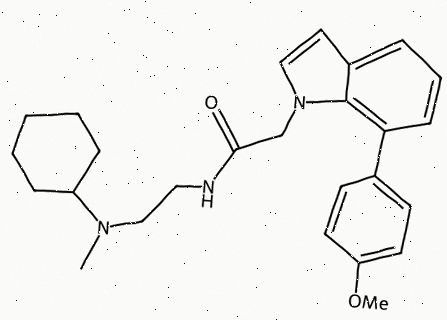 COc1ccc(-c2cccc3ccn(CC(=O)NCCN(C)C4CCCCC4)c23)cc1